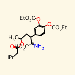 CCOC(=O)Oc1ccc(C(CC(C)OC(=O)CC(C)C)[C@H](N)C(=O)O)cc1OC(=O)OCC